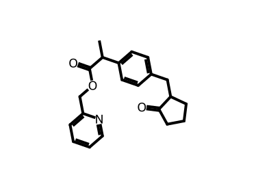 CC(C(=O)OCc1ccccn1)c1ccc(CC2CCCC2=O)cc1